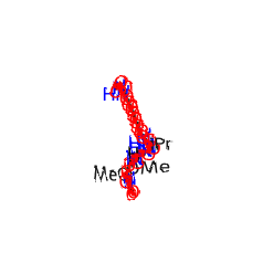 COc1cc2c(cc1OCCCOc1cc3c(cc1OC)C(=O)N1C=C(c4ccc(NC(=O)[C@H](C)NC(=O)C(NC(=O)CCOCCOCCOCCOCCOCCOCCOCCOCCNC(=O)CCN5C(=O)C=CC5=O)C(C)C)cc4)C[C@H]1C=N3)N=CC1CC(c3ccc4c(c3)OCO4)=CN1C2=O